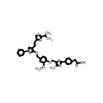 COc1cc(COc2nn(-c3ccccc3)cc2/C=C/c2csc(C(C)C)n2)ccc1OCc1nc(-c2ccc(CC(=O)O)cc2)oc1C